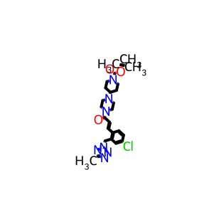 Cc1nnn(Cc2cc(Cl)ccc2C=CC(=O)N2CCN(C3CCN(C(=O)OC(C)(C)C)CC3)CC2)n1